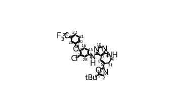 CC(C)(C)c1cnc(C2=Cc3c(ncnc3Nc3ccc(Oc4cccc(C(F)(F)F)c4)c(Cl)c3)NCC2)o1